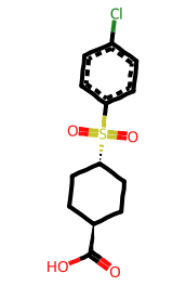 O=C(O)[C@H]1CC[C@H](S(=O)(=O)c2ccc(Cl)cc2)CC1